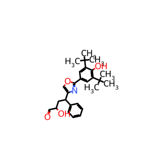 CC(C)(C)c1cc(-c2nc(C(CC(O)C=O)c3ccccc3)co2)cc(C(C)(C)C)c1O